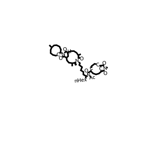 C=C1C(C)CCC2C[C@@H](CCCC(C)C(=O)N1CCCCCCC(CCCCCC)N(C(C)=O)C(=O)C1CCCCC3CC(CCC1)C(=O)N(C)C3=O)C(=O)N([C@H]1CCCCCC(C)CCCC1)C2=O